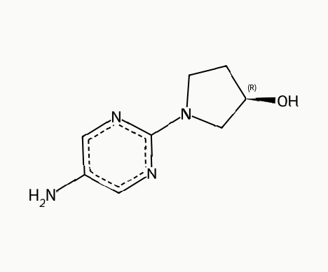 Nc1cnc(N2CC[C@@H](O)C2)nc1